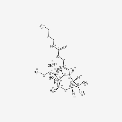 CCCCNC(=O)OCC1=C[C@@H]2C(O)[C@](C)([C@H](C)C[C@@H]3[C@H]2C3(C)C)[C@@](O)([C@@H](O)CC)[C@@H]1O